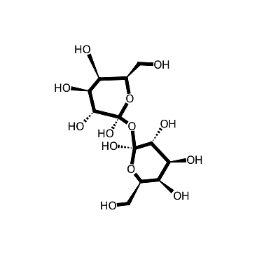 OC[C@H]1O[C@@](O)(O[C@]2(O)O[C@H](CO)[C@H](O)[C@H](O)[C@H]2O)[C@H](O)[C@@H](O)[C@H]1O